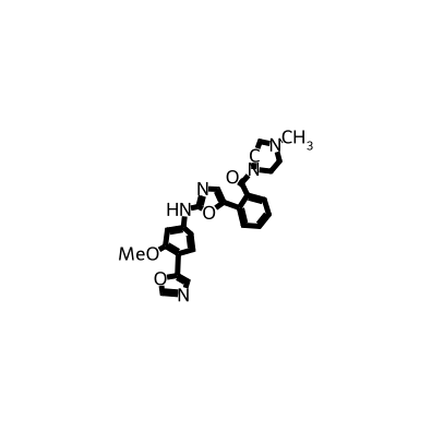 COc1cc(Nc2ncc(-c3ccccc3C(=O)N3CCN(C)CC3)o2)ccc1-c1cnco1